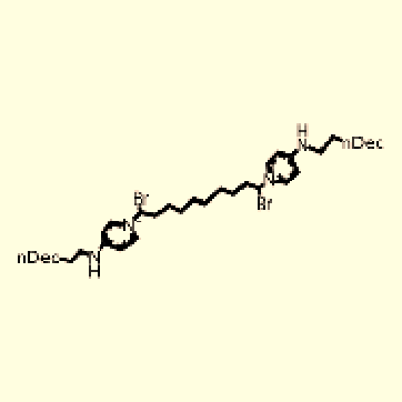 CCCCCCCCCCCCNc1cc[n+](C(Br)CCCCCCCCC(Br)[n+]2ccc(NCCCCCCCCCCCC)cc2)cc1